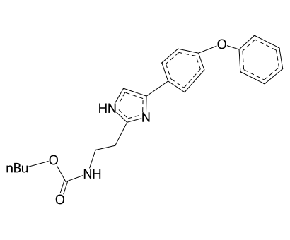 CCCCOC(=O)NCCc1nc(-c2ccc(Oc3ccccc3)cc2)c[nH]1